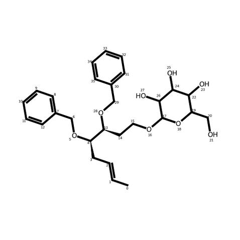 C/C=C/C[C@@H](OCc1ccccc1)[C@H](CCOC1OC(CO)C(O)C(O)C1O)OCc1ccccc1